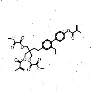 C=C(C)C(=O)OCC(CCc1ccc(-c2ccc(OC(=O)C(=C)C)cc2)c(CC)c1)(COC(=O)C(=O)OC)COC(=O)C(=O)OC